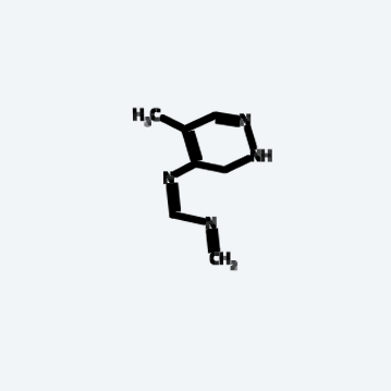 C=N/C=N\C1=C(C)C=NNC1